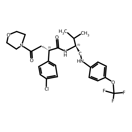 CC(C)[C@@H](CNc1ccc(OC(F)(F)F)cc1)NC(=O)[C@@H](CC(=O)N1CCOCC1)c1ccc(Cl)cc1